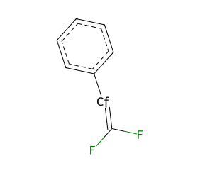 F[C](F)=[Cf][c]1ccccc1